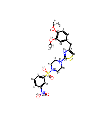 COc1ccc(Cc2csc(N3CCN(S(=O)(=O)c4cccc([N+](=O)[O-])c4)CC3)n2)cc1OC